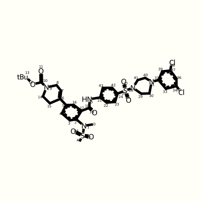 CN(c1ccc(C2=CCN(C(=O)OC(C)(C)C)CC2)cc1C(=O)Nc1ccc(S(=O)(=O)N2CCN(c3cc(Cl)cc(Cl)c3)CC2)cc1)S(C)(=O)=O